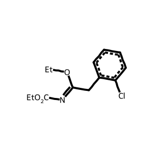 CCOC(=O)N=C(Cc1ccccc1Cl)OCC